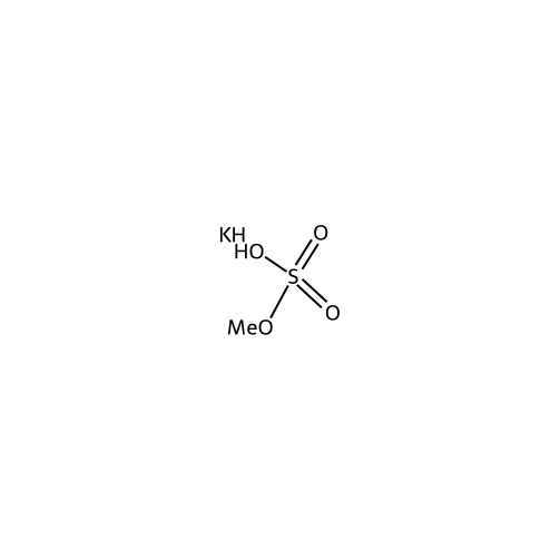 COS(=O)(=O)O.[KH]